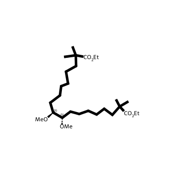 CCOC(=O)C(C)(C)CCCCCC[C@H](OC)[C@H](CCCCCCC(C)(C)C(=O)OCC)OC